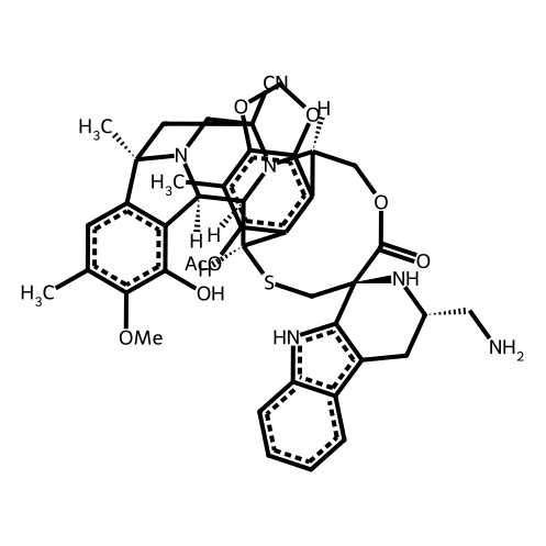 COc1c(C)cc2c(c1O)[C@@H]1[C@@H]3[C@@H]4SC[C@]5(N[C@H](CN)Cc6c5[nH]c5ccccc65)C(=O)OC[C@@H](c5c6c(c(C)c(OC(C)=O)c54)OCO6)N3C3(C#N)CN1[C@]2(C)C3